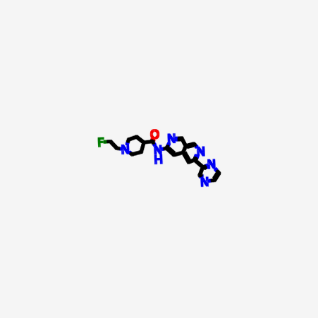 O=C(Nc1cc2cc(-c3cnccn3)ncc2cn1)C1CCN(CCF)CC1